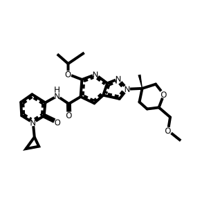 COCC1CC[C@](C)(n2cc3cc(C(=O)Nc4cccn(C5CC5)c4=O)c(OC(C)C)nc3n2)CO1